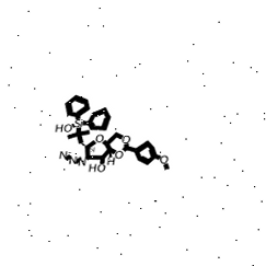 COc1ccc(C2OCC3O[C@@H](CC(C)(C)[Si](O)(c4ccccc4)c4ccccc4)C(N=[N+]=[N-])C(O)[C@H]3O2)cc1